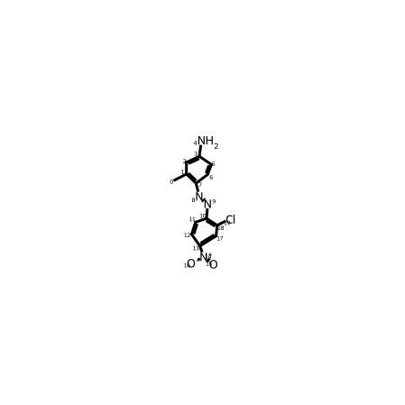 Cc1cc(N)ccc1N=Nc1ccc([N+](=O)[O-])cc1Cl